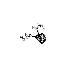 PP[C]12[CH]3[CH]4[CH]5[C]1(PP)[Fe]43521678[CH]2[CH]1[CH]6[CH]7[CH]28